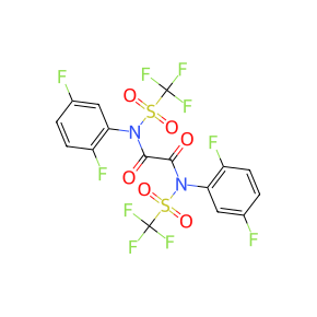 O=C(C(=O)N(c1cc(F)ccc1F)S(=O)(=O)C(F)(F)F)N(c1cc(F)ccc1F)S(=O)(=O)C(F)(F)F